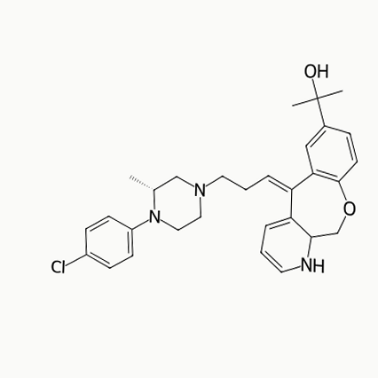 C[C@@H]1CN(CC/C=C2\C3=CC=CNC3COc3ccc(C(C)(C)O)cc32)CCN1c1ccc(Cl)cc1